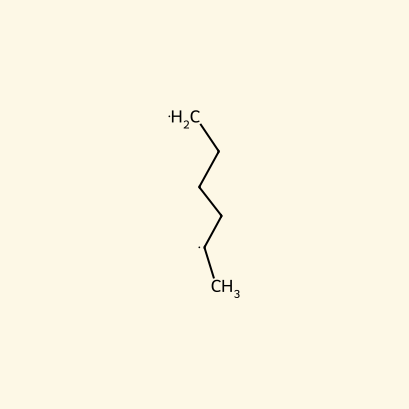 [CH2]CCC[CH]C